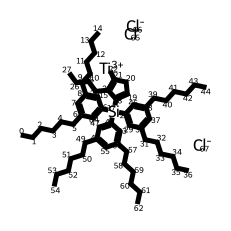 CCCCCCc1cc(CCCCCC)cc([Si](C2=CC[C]([Ti+3])=C2CCCC)(c2cc(CCCCCC)cc(CCCCCC)c2)c2cc(CCCCCC)cc(CCCCCC)c2)c1.[Cl-].[Cl-].[Cl-]